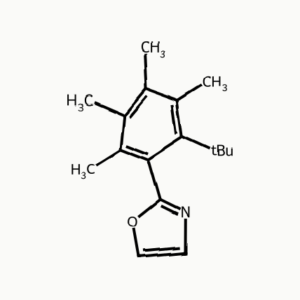 Cc1c(C)c(C)c(C(C)(C)C)c(-c2ncco2)c1C